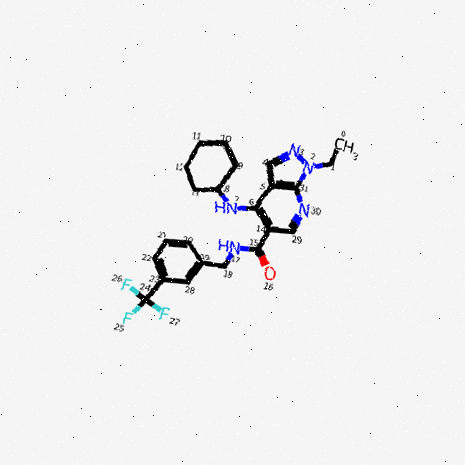 CCn1ncc2c(NC3CCCCC3)c(C(=O)NCc3cccc(C(F)(F)F)c3)cnc21